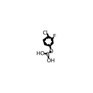 OB(O)Oc1ccc(Cl)c(F)c1